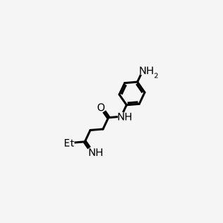 CCC(=N)CCC(=O)Nc1ccc(N)cc1